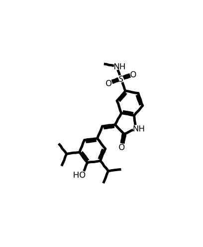 CNS(=O)(=O)c1ccc2c(c1)C(=Cc1cc(C(C)C)c(O)c(C(C)C)c1)C(=O)N2